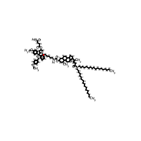 CCCCCCCCCCCCCCCCCCN(CCCCCCCCCCCCCCCCCC)C(=O)CCC(C)C1CCC2C3CCC4CC(OC(=O)NCCCCCC(=O)N5CC(OC(=O)CCC(=O)O)CC5C(OCc5ccc(OC)cc5)(c5ccccc5)c5ccc(OC)cc5)CC(C)C4C3CCC12C